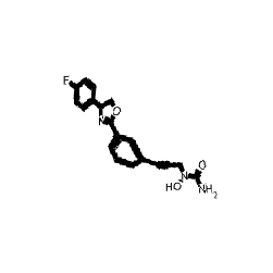 NC(=O)N(O)CC#Cc1cccc(C2=NC(c3ccc(F)cc3)CO2)c1